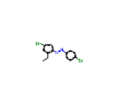 CCc1cc(Br)ccc1N=Nc1ccc(Br)cc1